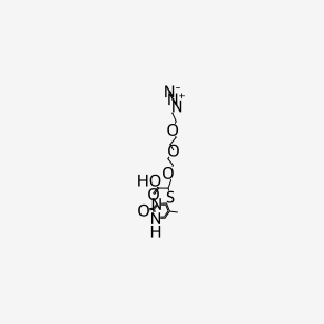 Cc1c[nH]c(=O)nc1SC(COCCOCCOCCN=[N+]=[N-])C(=O)O